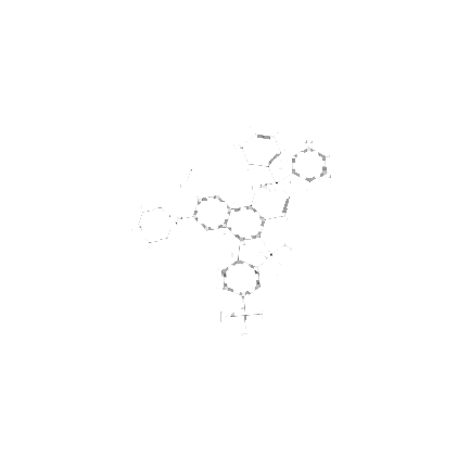 COc1cc2c3c(c4c(c2cc1N1CCOCC1)-c1ccc(C(F)(F)F)cc1C4(C)C)C=CC(C1=CC=CCC1)(c1ccccc1)O3